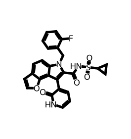 O=C(NS(=O)(=O)C1CC1)c1c(-c2ccc[nH]c2=O)c2c3occc3ccc2n1Cc1ccccc1F